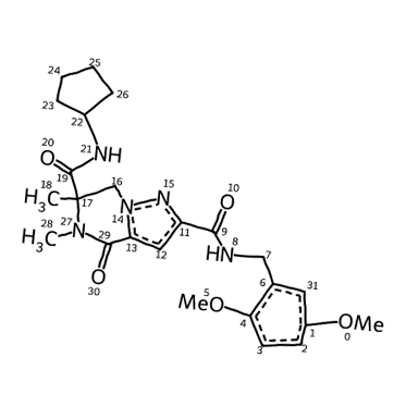 COc1ccc(OC)c(CNC(=O)c2cc3n(n2)CC(C)(C(=O)NC2CCCC2)N(C)C3=O)c1